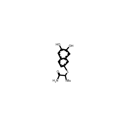 CCCCC(Sc1ccc2cc(O)c(O)cc2c1)C(N)=O